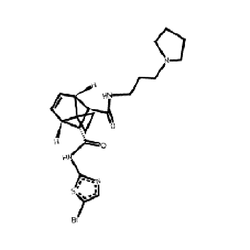 O=C(NCCCN1CCCC1)[C@H]1[C@H](C(=O)Nc2ncc(Br)s2)[C@@H]2C=C[C@H]1C21CC1